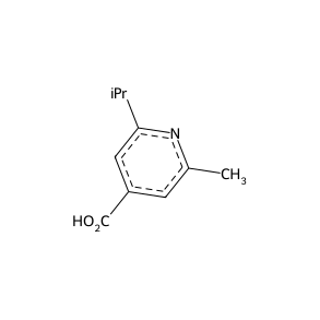 Cc1cc(C(=O)O)cc(C(C)C)n1